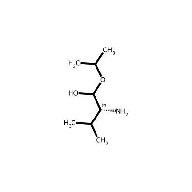 CC(C)OC(O)[C@H](N)C(C)C